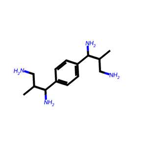 CC(CN)C(N)c1ccc(C(N)C(C)CN)cc1